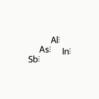 [Al].[As].[In].[Sb]